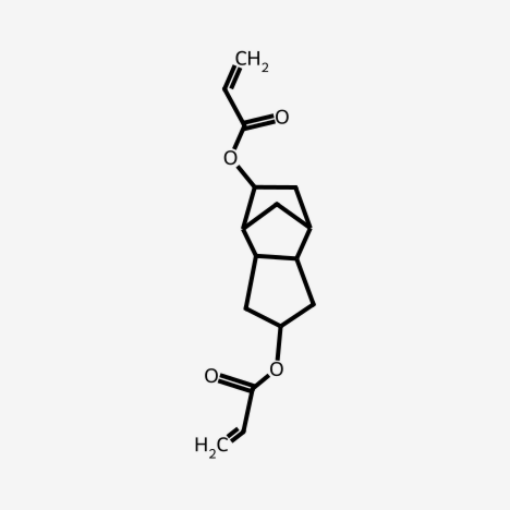 C=CC(=O)OC1CC2C3CC(OC(=O)C=C)C(C3)C2C1